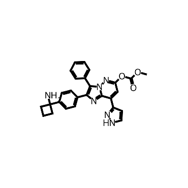 COC(=O)Oc1cc(-c2cc[nH]n2)c2nc(-c3ccc(C4(N)CCC4)cc3)c(-c3ccccc3)n2n1